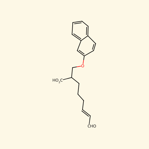 O=C/C=C/CCCC(COc1ccc2ccccc2c1)C(=O)O